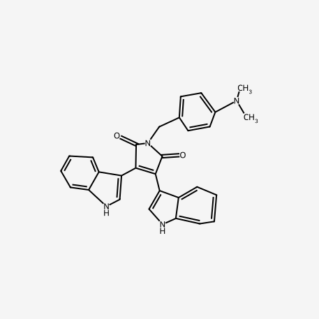 CN(C)c1ccc(CN2C(=O)C(c3c[nH]c4ccccc34)=C(c3c[nH]c4ccccc34)C2=O)cc1